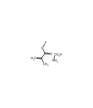 C=C(C)C(=O)OF.NC(=O)O